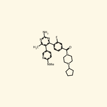 CNc1ccc(-c2c(C)nc(N)nc2-c2ccc(C(=O)N3CCN(C4CCCC4)CC3)cc2F)cn1